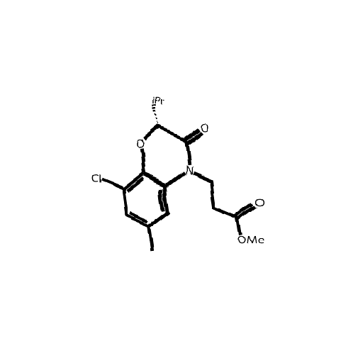 COC(=O)CCN1C(=O)[C@@H](C(C)C)Oc2c(Cl)cc(C)cc21